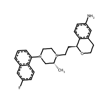 C[C@@H]1CN(c2cccc3cc(F)ccc23)CCN1CC[C@@H]1OCCc2cc(N)ccc21